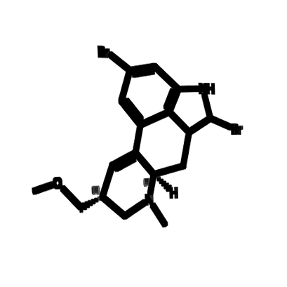 CO[CH][C@@H]1C=C2c3cc(Br)cc4c3C(C[C@H]2N(C)C1)C(Br)N4